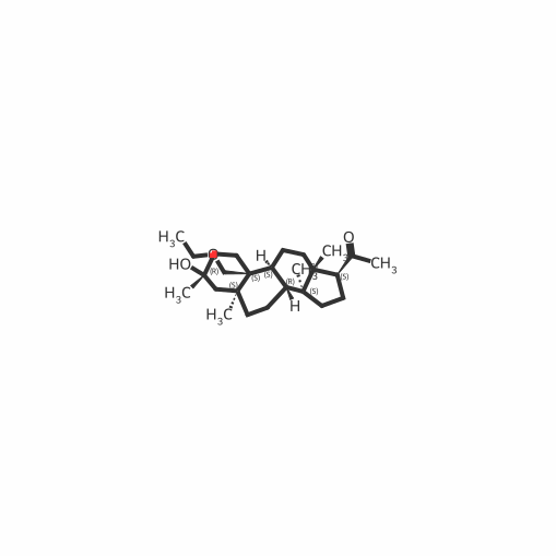 CCOC[C@]12CC[C@@](C)(O)C[C@]1(C)CC[C@@H]1[C@@H]2CC[C@]2(C)[C@@H](C(C)=O)CC[C@@]12C